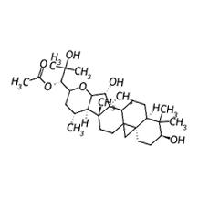 CC(=O)O[C@@H](C1C[C@@H](C)[C@H]2C(O1)[C@H](O)[C@@]1(C)C3CC[C@H]4C(C)(C)[C@@H](O)CC[C@@]45CC35CC[C@]21C)C(C)(C)O